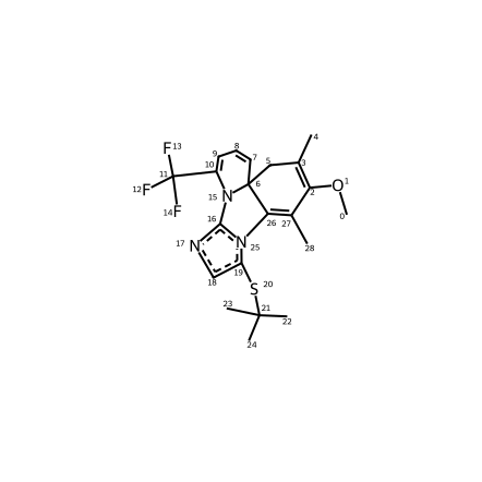 COC1=C(C)CC23C=CC=C(C(F)(F)F)N2c2ncc(SC(C)(C)C)n2C3=C1C